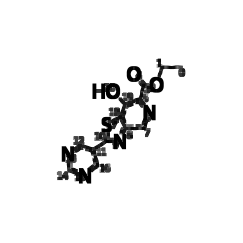 CCOC(=O)c1ncc2nc(-c3cncnc3)sc2c1O